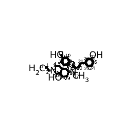 C=CCN1CC[C@@]2(c3cccc(O)c3)C[C@@H](N(C)C(=O)C=Cc3cccc(O)c3)CC[C@]2(O)C1